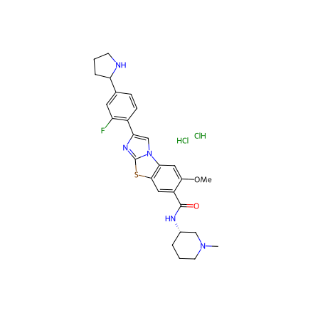 COc1cc2c(cc1C(=O)N[C@H]1CCCN(C)C1)sc1nc(-c3ccc(C4CCCN4)cc3F)cn12.Cl.Cl